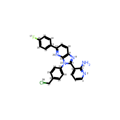 Nc1ncccc1-c1nc2ccc(-c3ccc(F)cc3)nc2n1-c1ccc(CCl)cc1